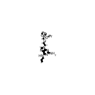 C=CCNc1nc(N)nc2c1ncn2CCOCP(=O)(OC(C)C)OC(C)C